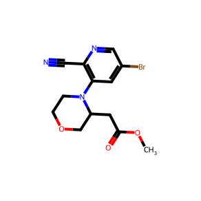 COC(=O)CC1COCCN1c1cc(Br)cnc1C#N